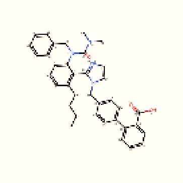 CCCCc1cccc(N(Cc2ccccc2)C(=O)N(C)C)c1-c1nccn1Cc1ccc(-c2ccccc2C(=O)O)cc1